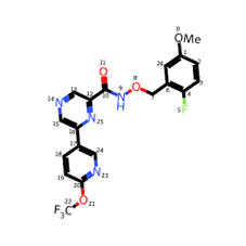 COc1ccc(F)c(CONC(=O)c2cncc(-c3ccc(OC(F)(F)F)nc3)n2)c1